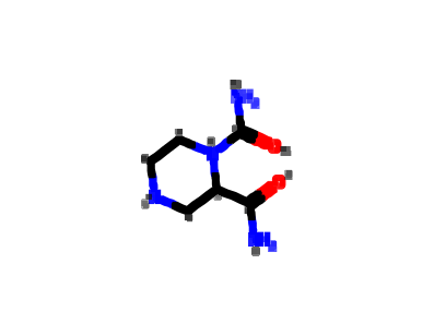 NC(=O)C1C[N]CCN1C(N)=O